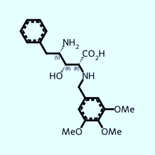 COc1cc(CN[C@@H](C(=O)O)[C@H](O)[C@@H](N)Cc2ccccc2)cc(OC)c1OC